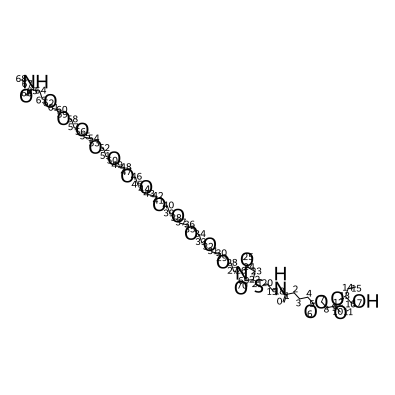 C=C(CCCC(=O)OCC(OC)OC(CC)CO)NCCSC1CC(=O)N(CCOCCOCCOCCOCCOCCOCCOCCOCCOCCOCCOCCOCCC(=O)NC)C1=O